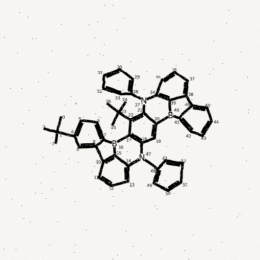 CC(C)(C)c1ccc2c(c1)-c1cccc3c1B2c1c(cc2c(c1C(C)(C)C)N(c1ccccc1)c1cccc4c1B2c1ccccc1-4)N3c1ccccc1